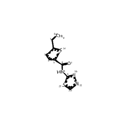 CCc1ccc(C(=O)Nc2nncs2)s1